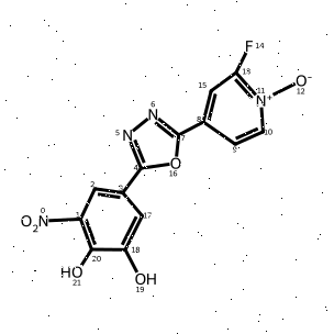 O=[N+]([O-])c1cc(-c2nnc(-c3cc[n+]([O-])c(F)c3)o2)cc(O)c1O